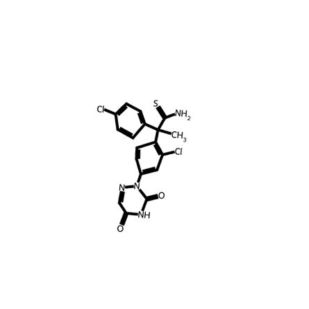 CC(C(N)=S)(c1ccc(Cl)cc1)c1ccc(-n2ncc(=O)[nH]c2=O)cc1Cl